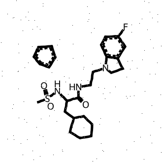 CS(=O)(=O)NC(CC1CCCCC1)C(=O)NCCN1CCc2cc(F)ccc21.c1ccccc1